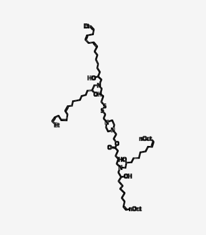 CC/C=C\C/C=C\C/C=C\CCCCCCC(O)CN(CCCCSSCCN1CCN(CCOC(=O)CCCCN(CC(O)CCCCCC/C=C\CCCCCCCC)CC(O)CCCCCC/C=C\CCCCCCCC)CC1)CC(O)CCCCCC/C=C\C/C=C\C/C=C\CC